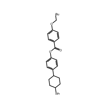 CCCC1CCC(c2ccc(OC(=O)c3ccc(OCC(C)CC)cc3)cc2)CC1